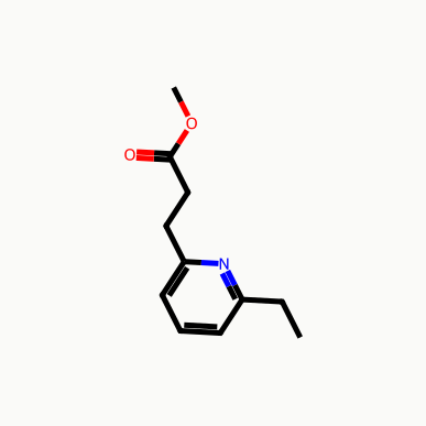 CCc1cccc(CCC(=O)OC)n1